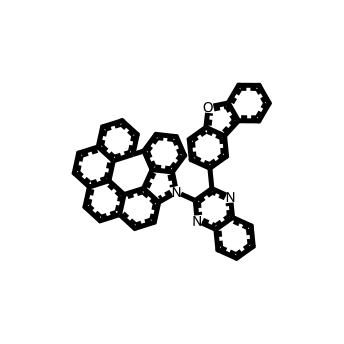 c1cc2c3c(c1)ccc1ccc4ccc5c(c6c-2cccc6n5-c2nc5ccccc5nc2-c2ccc5oc6ccccc6c5c2)c4c13